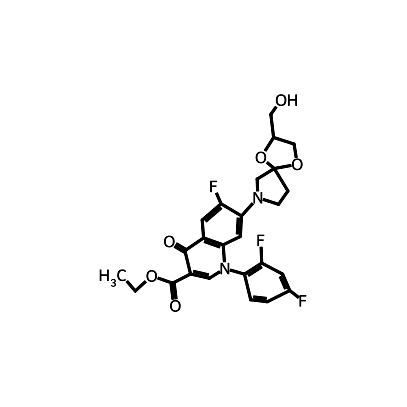 CCOC(=O)c1cn(-c2ccc(F)cc2F)c2cc(N3CCC4(C3)OCC(CO)O4)c(F)cc2c1=O